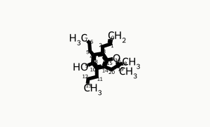 C=CCc1c(CCC)c(O)c(CCC)c2c1OC(C)(C)C2